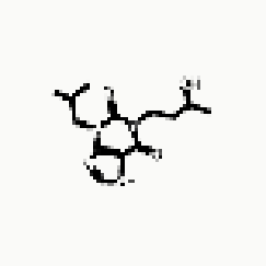 CC(C)Cn1c(=O)n(CCC(C)O)c(=O)c2[nH]cnc21